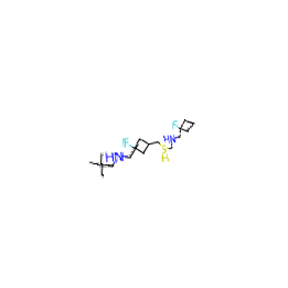 C[SH](CNCC1(F)CCC1)CC1CC(F)(CNCC(C)(C)C)C1